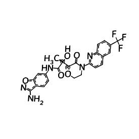 C[C@](O)(C(=O)Nc1ccc2c(N)noc2c1)[C@H]1OCCN(c2ccc3cc(C(F)(F)F)ccc3n2)C1=O